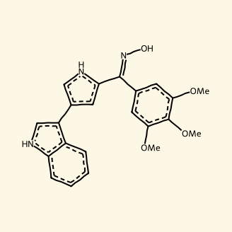 COc1cc(C(=NO)c2cc(-c3c[nH]c4ccccc34)c[nH]2)cc(OC)c1OC